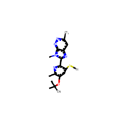 CCSc1cc(OC(C)(C)C#N)c(C)nc1-c1nc2cc(C(F)(F)F)nnc2n1C